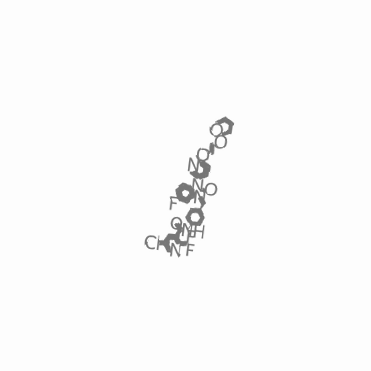 O=C(N[C@H]1CC[C@H](Cn2c(=O)n(-c3ccc(OCCOC4CCCCO4)nc3)c3ccc(F)cc32)CC1)c1cc(Cl)cnc1C(F)F